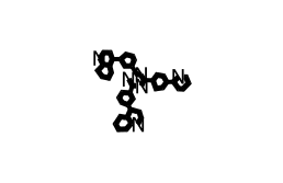 c1ccc(-c2ccc(-c3nc(-c4cccc(-c5ccnc6ccccc56)c4)nc(-c4cccc(-c5ccnc6ccccc56)c4)n3)cc2)nc1